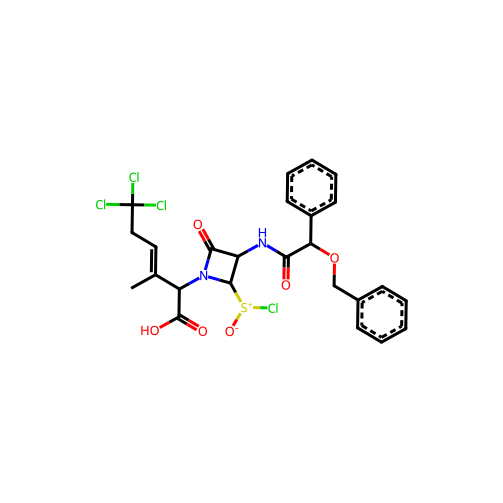 CC(=CCC(Cl)(Cl)Cl)C(C(=O)O)N1C(=O)C(NC(=O)C(OCc2ccccc2)c2ccccc2)C1[S+]([O-])Cl